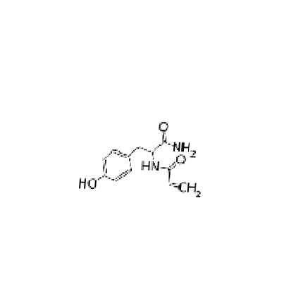 C=CC(=O)NC(Cc1ccc(O)cc1)C(N)=O